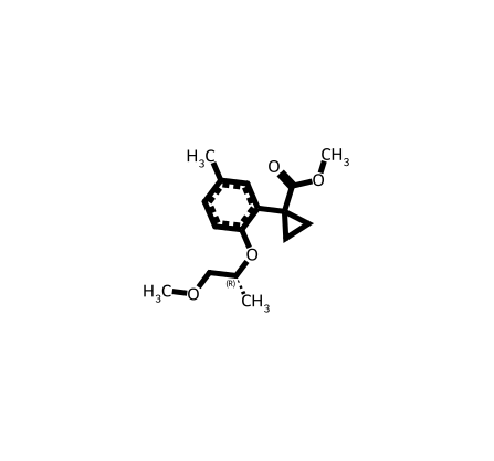 COC[C@@H](C)Oc1ccc(C)cc1C1(C(=O)OC)CC1